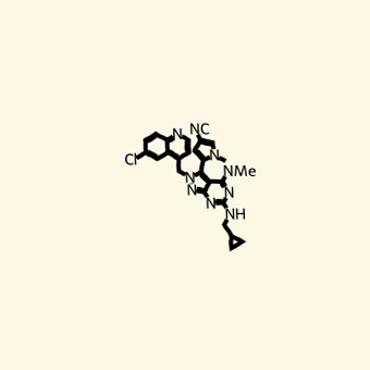 CNc1nc(NCC2CC2)nc2nn(Cc3ccnc4ccc(Cl)cc34)c(-c3cc(C#N)cn3C)c12